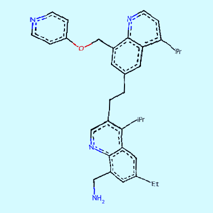 CCc1cc(CN)c2ncc(CCc3cc(COc4ccncc4)c4nccc(C(C)C)c4c3)c(C(C)C)c2c1